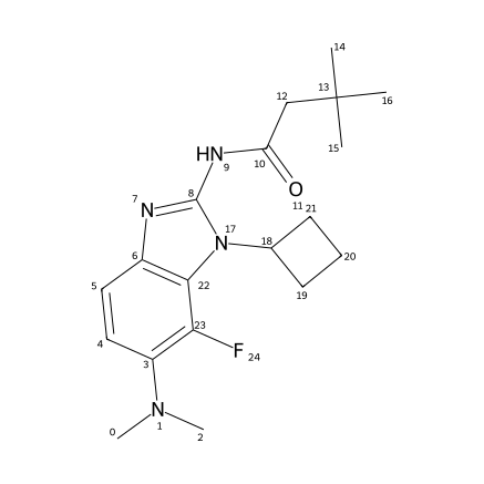 CN(C)c1ccc2nc(NC(=O)CC(C)(C)C)n(C3CCC3)c2c1F